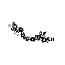 C=CCn1c(=O)c2cnc(Nc3ccc(N4CCN(CC5CCN(c6cccc7c6n(C)c(=O)n7[C@@H]6CCC(=O)NC7OC76)CC5)CC4)cc3)nc2n1-c1cccc(C(C)(C)O)n1